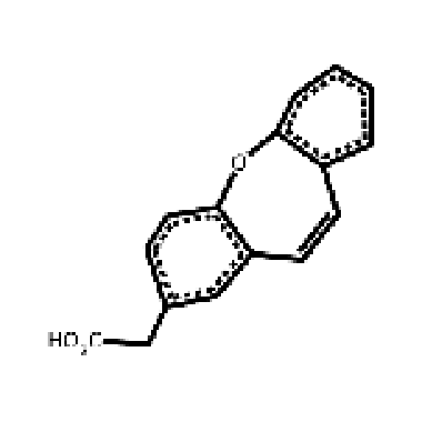 O=C(O)Cc1ccc2c(c1)C=Cc1ccccc1O2